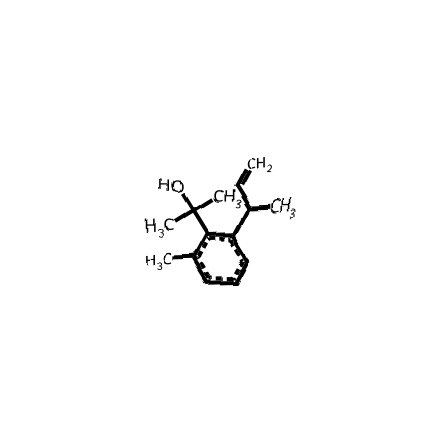 C=CC(C)c1cccc(C)c1C(C)(C)O